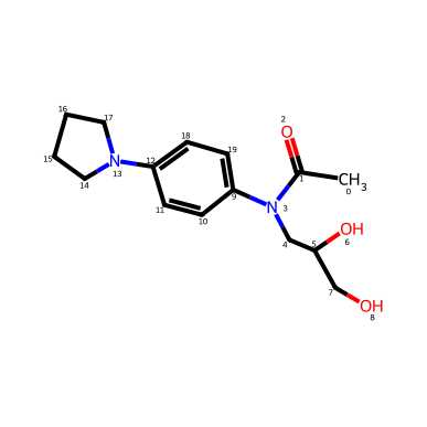 CC(=O)N(CC(O)CO)c1ccc(N2CCCC2)cc1